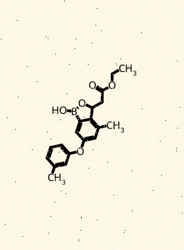 CCOC(=O)CC1OB(O)c2cc(Oc3cccc(C)c3)cc(C)c21